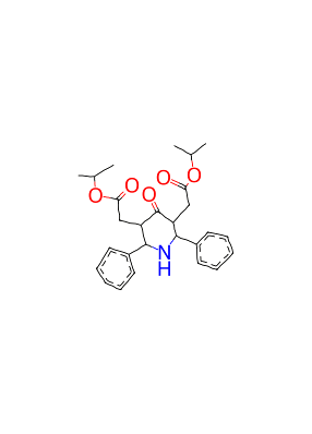 CC(C)OC(=O)CC1C(=O)C(CC(=O)OC(C)C)C(c2ccccc2)NC1c1ccccc1